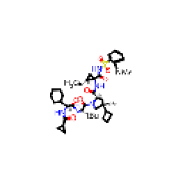 C=C[C@@H]1C[C@]1(NC(=O)[C@@H]1CC(C(C)C)(C2CCC2)CN1C(=O)[C@@H](NC(=O)[C@@H](NC(=O)C1CC1)C1CCCCC1)C(C)(C)C)C(=O)NS(=O)(=O)c1ccccc1NC